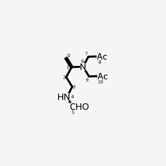 C=C(CCNC=O)N(CC(C)=O)CC(C)=O